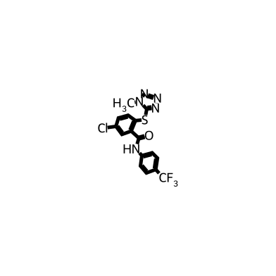 Cn1nnnc1Sc1ccc(Cl)cc1C(=O)Nc1ccc(C(F)(F)F)cc1